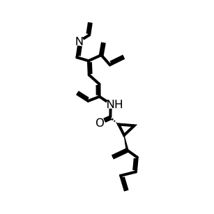 C=C/C=C\C(=C)[C@@H]1C[C@H]1C(=O)N/C(C=C)=C/C=C(/C=N\C=C)C(=C)C=C